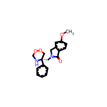 COc1ccc2c(c1)CN(C[C@@]1(c3ccccc3)COOCN1)C2=O